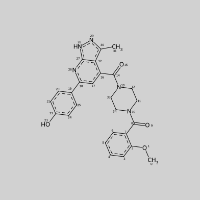 COc1ccccc1C(=O)N1CCN(C(=O)c2cc(-c3ccc(O)cc3)nc3[nH]nc(C)c23)CC1